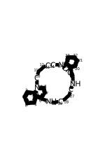 c1ccc2c(c1)c1cc[n+]2CCCCC[n+]2ccc(c3ccccc32)NCCCCCN1